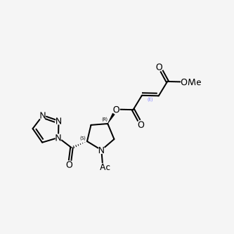 COC(=O)/C=C/C(=O)O[C@@H]1C[C@@H](C(=O)n2ccnn2)N(C(C)=O)C1